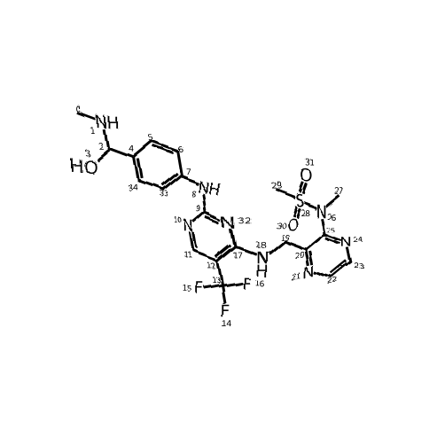 CNC(O)c1ccc(Nc2ncc(C(F)(F)F)c(NCc3nccnc3N(C)S(C)(=O)=O)n2)cc1